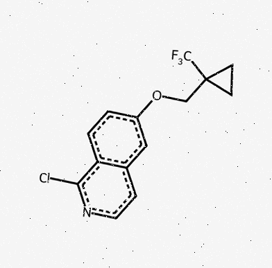 FC(F)(F)C1(COc2ccc3c(Cl)nccc3c2)CC1